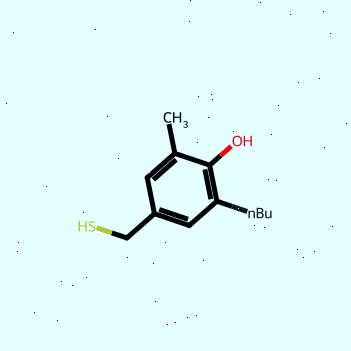 CCCCc1cc(CS)cc(C)c1O